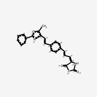 Cc1oc(-c2ccccc2)nc1C=Cc1ccc(C=CC=C2NC(=O)OC2=O)cc1